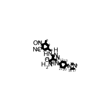 Cc1cc(CNc2[nH]nc(Nc3ccc(-n4ccnc4)cc3)c2C(N)=O)cc(C#N)c1N=O